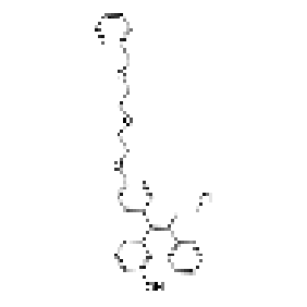 Oc1cccc(/C(=C(/CCCl)c2ccccc2)c2ccc(OCCOCCOCc3ccccc3)cc2)c1